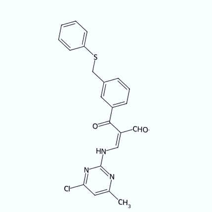 Cc1cc(Cl)nc(NC=C([C]=O)C(=O)c2cccc(CSc3ccccc3)c2)n1